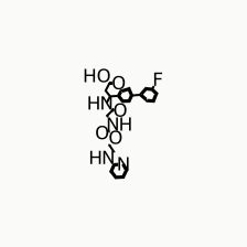 O=C(O)CC(NC(=O)CNC(=O)OCCNc1ccccn1)c1ccc(-c2cccc(F)c2)cc1